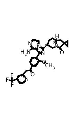 COc1cc(C(=O)Cc2cc(C(F)(F)F)ccn2)ccc1-c1nc([C@H]2CC[C@@H]3CC4(CC4)C(=O)N3C2)n2ccnc(N)c12